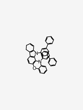 C1=Cc2c(c3ccc4c(c3n2-c2cc(-c3ccccc3)cc(-c3ccccc3)c2)N(c2ccccc2)c2ccccc2O4)CC1